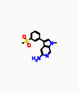 Cn1cc(-c2cccc(S(C)(=O)=O)c2)c2cc(N)ncc21